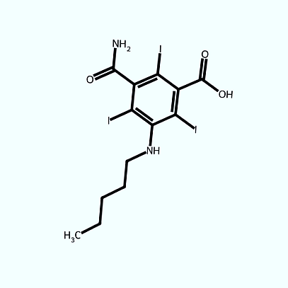 CCCCCNc1c(I)c(C(N)=O)c(I)c(C(=O)O)c1I